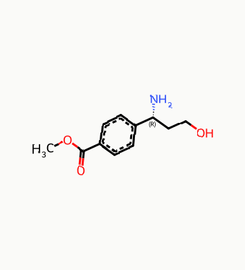 COC(=O)c1ccc([C@H](N)CCO)cc1